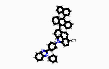 N#Cc1ccc2c3c1ccc1c(-c4c5ccccc5c(-c5cccc6ccccc56)c5ccccc45)ccc(c13)n2-c1ccc(-c2nc3ccccc3n2-c2ccccc2)cc1